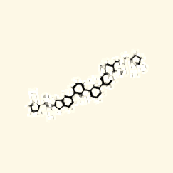 Cc1c(-c2ccn3c(=O)c(CNC[C@H]4CCC(=O)N4)cnc3c2)cccc1-c1cccc(-c2ccc3c(c2)C[C@H](NC(=O)[C@H]2CCCN2)C3)c1Cl